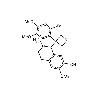 COc1cc2c(cc1O)C(C1(c3cc(OC)c(OC)cc3Br)CCC1)N(C)CC2